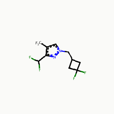 FC(F)c1nn(CC2CC(F)(F)C2)cc1C(F)(F)F